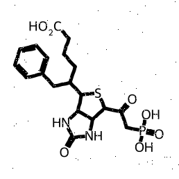 O=C(O)CCCC(Cc1ccccc1)C1SC(C(=O)CP(=O)(O)O)C2NC(=O)NC21